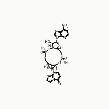 Nc1ccnc2c1ncn2[C@@H]1S[C@@H]2CO[P@@](=O)(S)O[C@@H]3[C@H](O)[C@@H](CO[P@@](=O)(S)O[C@H]2[C@H]1O)O[C@H]3n1ccc(=O)n2ccnc12